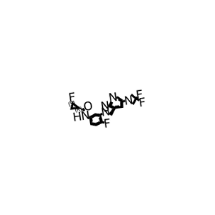 O=C(Nc1ccc(F)c(-n2cc3cc(N4CC(F)(F)C4)cnc3n2)c1)[C@H]1C[C@@H]1F